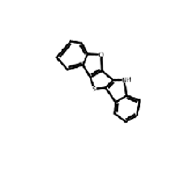 c1ccc2c(c1)[nH]c1c3oc4ccccc4c3sc21